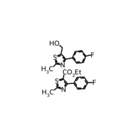 CCOC(=O)c1sc(C)nc1-c1ccc(F)cc1.Cc1nc(-c2ccc(F)cc2)c(CO)s1